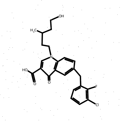 CC(CCO)CCn1cc(C(=O)O)c(=O)c2cc(Cc3cccc(Cl)c3F)ccc21